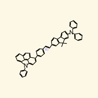 CC1(C)c2cc(/C=C/c3ccc(-c4ccc5c6c4ccc4cccc(c46)n5-c4ccccc4)cc3)ccc2-c2ccc(N(c3ccccc3)c3ccccc3)cc21